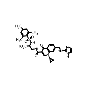 Cc1cc(C)c(S(=O)(=O)NC(CNC(=O)c2cn(C3CC3)c3cc(CNc4ncc[nH]4)ccc3c2=O)C(=O)O)c(C)c1